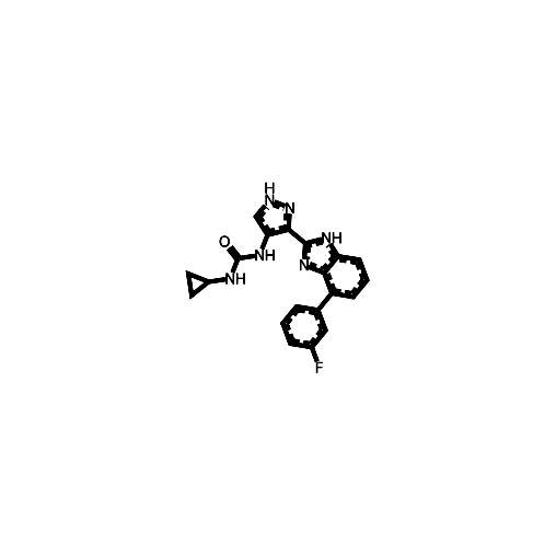 O=C(Nc1c[nH]nc1-c1nc2c(-c3cccc(F)c3)cccc2[nH]1)NC1CC1